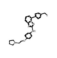 FCc1ccc(-c2cccc3nc(Nc4ccc(OCCN5CCCC5)cc4)nn23)cc1